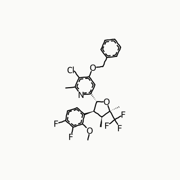 COc1c([C@H]2[C@H](c3cc(OCc4ccccc4)c(Cl)c(C)n3)O[C@@](C)(C(F)(F)F)[C@H]2C)ccc(F)c1F